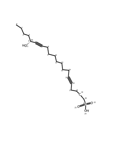 CCCC[C@@H](O)C#CCCCCCCCC#CCCCCS(=O)(=O)O